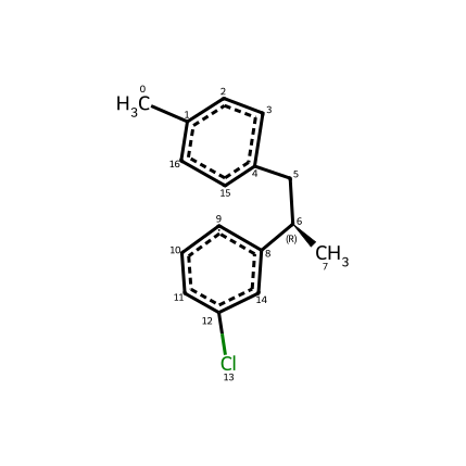 Cc1ccc(C[C@@H](C)c2[c]ccc(Cl)c2)cc1